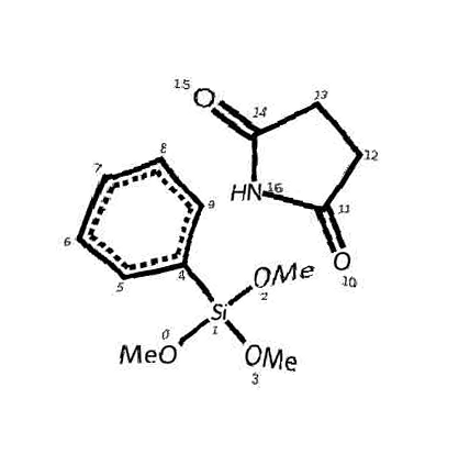 CO[Si](OC)(OC)c1ccccc1.O=C1CCC(=O)N1